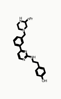 CCCC1CN(Cc2cccc(-c3ccnc(NCCc4ccc(O)cc4)n3)c2)CCN1